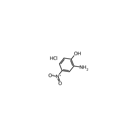 Cl.Nc1cc([N+](=O)[O-])ccc1O